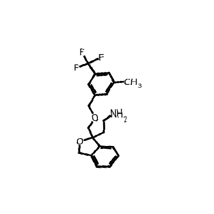 Cc1cc(COCC2(CCN)OCc3ccccc32)cc(C(F)(F)F)c1